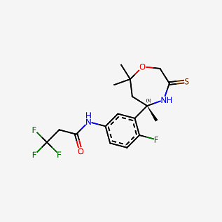 CC1(C)C[C@@](C)(c2cc(NC(=O)CC(F)(F)F)ccc2F)NC(=S)CO1